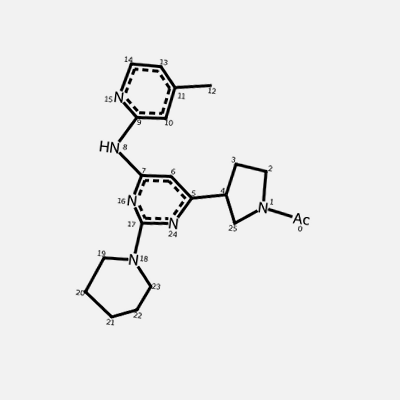 CC(=O)N1CCC(c2cc(Nc3cc(C)ccn3)nc(N3CCCCC3)n2)C1